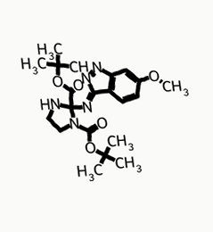 COc1ccc2c(c1)N=NC2=NC1(C(=O)OC(C)(C)C)NCCN1C(=O)OC(C)(C)C